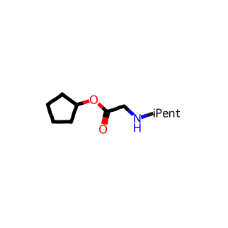 CCCC(C)NCC(=O)OC1CCCC1